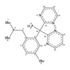 CC(C)(C)c1ccc(CP(C(C)(C)C)C(C)(C)C)c(C(P)(c2ncccn2)c2ncccn2)c1